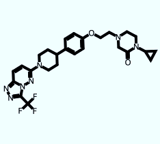 O=C1CN(CCOc2ccc(C3CCN(c4ccc5nnc(C(F)(F)F)n5n4)CC3)cc2)CCN1C1CC1